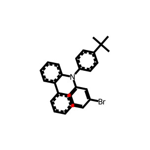 CC(C)(C)c1ccc(N(C2=C=C=CC(Br)=C2)c2ccccc2-c2ccccc2)cc1